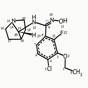 CCOc1c(Cl)ccc(/C(=N\O)N[C@H]2CN3CCC2CC3)c1F